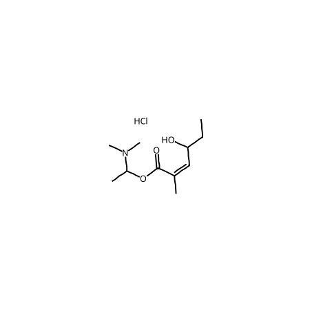 CCC(O)C=C(C)C(=O)OC(C)N(C)C.Cl